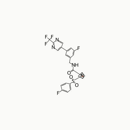 O=C(NCc1cc(F)cc(-c2cnc(C(F)(F)F)nc2)c1)C1C2CC(C2)N1S(=O)(=O)c1ccc(F)cc1